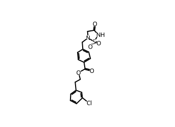 O=C1CN(Cc2ccc(C(=O)OCCc3cccc(Cl)c3)cc2)S(=O)(=O)N1